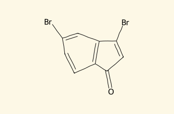 O=C1C=C(Br)c2cc(Br)ccc21